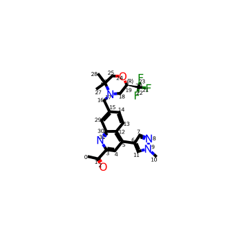 CC(=O)c1cc(-c2cnn(C)c2)c2ccc(CN3C[C@H](C(F)(F)F)OCC3(C)C)cc2n1